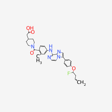 C=CCC(F)Oc1ccc(-c2cnc3c(Nc4ccc(C(=O)N5CCC(CC(=O)O)CC5)c(C)c4)nccn23)cc1